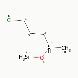 C[SiH](CCCCl)O[SiH3]